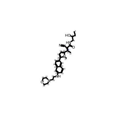 CCC(O)CNC(=O)/C(C#N)=C(\C)c1ccc(-c2ccc3cc(NCCN4CCOCC4)ccc3c2)n1C